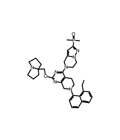 CCc1cccc2cccc(N3CCc4c(nc(OCC56CCCN5CCC6)nc4N4CCn5nc(P(C)(C)=O)cc5C4)C3)c12